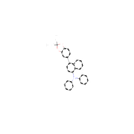 CC1(C)Oc2ccc(-c3ccc(N(c4ccccc4)c4ccccc4)c4ccccc34)cc2O1